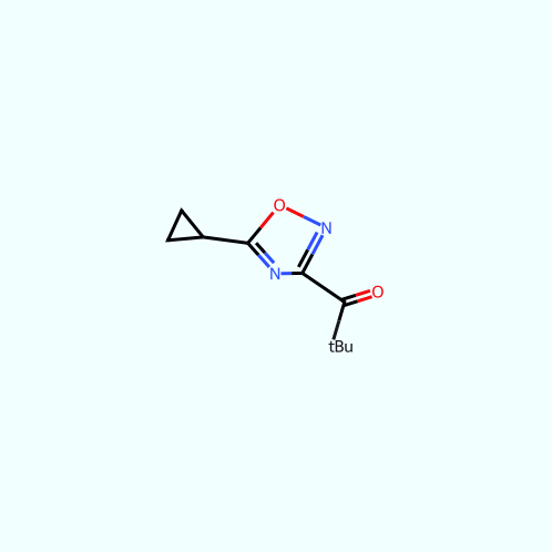 CC(C)(C)C(=O)c1noc(C2CC2)n1